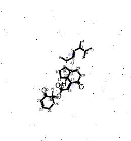 CC(C)C(C)/C=C/C(C)[C@H]1CC[C@H]2/C(=C\C(=O)O[C@]3(C)CCC=CC3=O)C(=O)CC[C@]12C